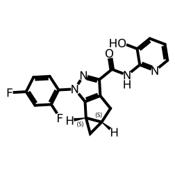 O=C(Nc1ncccc1O)c1nn(-c2ccc(F)cc2F)c2c1C[C@@H]1C[C@H]21